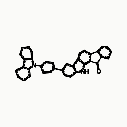 O=C1c2ccccc2-c2ccc3c([nH]c4ccc(-c5ccc(-n6c7ccccc7c7ccccc76)cc5)cc43)c21